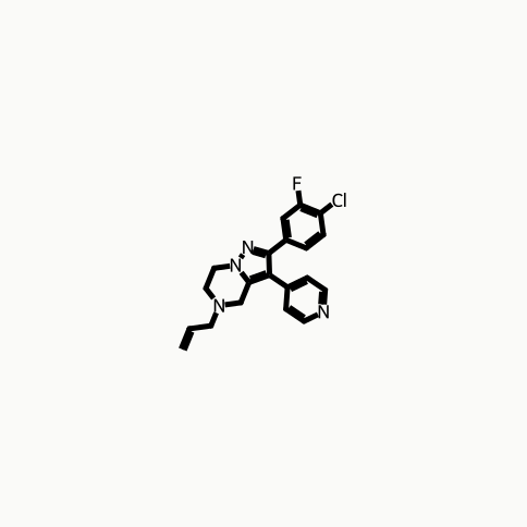 C=CCN1CCn2nc(-c3ccc(Cl)c(F)c3)c(-c3ccncc3)c2C1